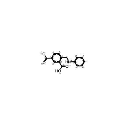 O=C(O)c1ccc(CNc2ccccc2)c(C(=O)O)c1